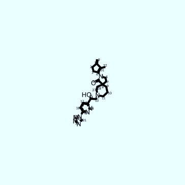 C=C1CCC(N2CCC3(CCCN(CC(O)c4ccc(-n5cnnn5)nn4)CC3)C2=O)=C1C